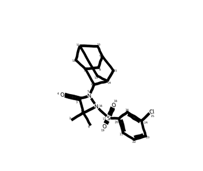 CC1(C)C(=O)N(C2C3CC4CC(C3)CC2C4)N1S(=O)(=O)c1cccc(Cl)c1